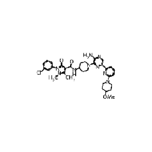 COC1CCN(c2cccc(-c3cnc(N)c(N4CCC(NC(=O)c5c(C)n(C)n(-c6cccc(Cl)c6)c5=O)CC4)n3)n2)CC1